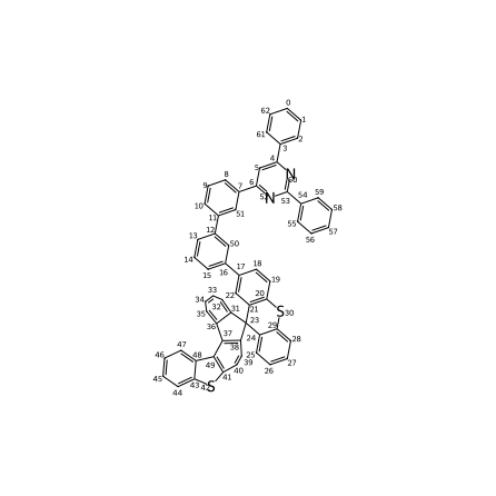 c1ccc(-c2cc(-c3cccc(-c4cccc(-c5ccc6c(c5)C5(c7ccccc7S6)c6ccccc6-c6c5ccc5sc7ccccc7c65)c4)c3)nc(-c3ccccc3)n2)cc1